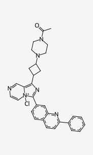 CC(=O)N1CCN(C2CC(C3=C4C=NC=C[N+]4(Cl)C(c4ccc5ccc(-c6ccccc6)nc5c4)=N3)C2)CC1